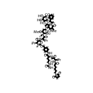 CCC(C)C(C(CC(=O)N1CCCC1C(OC)C(C)C(=O)NC(C)C(OC1O[C@H](C(=O)O)C(O)C(O)[C@@H]1O)c1ccccc1)OC)N(C)C(=O)C(NCC(=O)C(C(C)C)N(C)C(=O)OCc1ccc(NC(=O)C(CCCNC(N)=O)NCC(=O)C(NC(=O)CCCCCN2C(=O)C=CC2=O)C(C)C)cc1)C(C)C